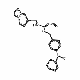 N#CN=C(NCc1ccc([S+]([O-])c2ccccc2)cc1)NCc1ccn2ccnc2c1